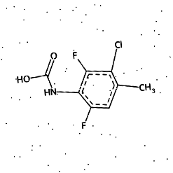 Cc1cc(F)c(NC(=O)O)c(F)c1Cl